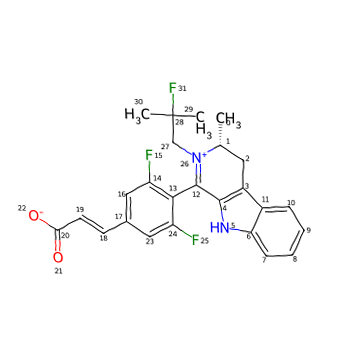 C[C@@H]1Cc2c([nH]c3ccccc23)C(c2c(F)cc(C=CC(=O)[O-])cc2F)=[N+]1CC(C)(C)F